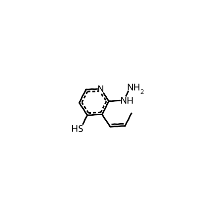 C/C=C\c1c(S)ccnc1NN